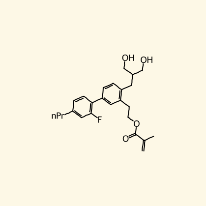 C=C(C)C(=O)OCCc1cc(-c2ccc(CCC)cc2F)ccc1CC(CO)CO